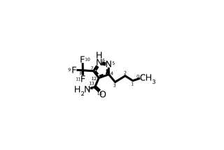 CCCCc1n[nH]c(C(F)(F)F)c1C(N)=O